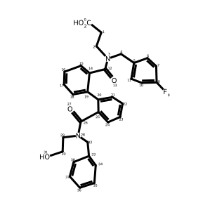 O=C(O)CCN(Cc1ccc(F)cc1)C(=O)c1ccccc1-c1ccccc1C(=O)N(CCO)Cc1ccccc1